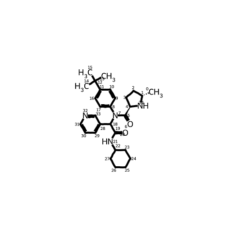 C[C@H]1CC[C@H](C(=O)N(c2ccc(C(C)(C)C)cc2)C(C(=O)NC2CCCCC2)c2cccnc2)N1